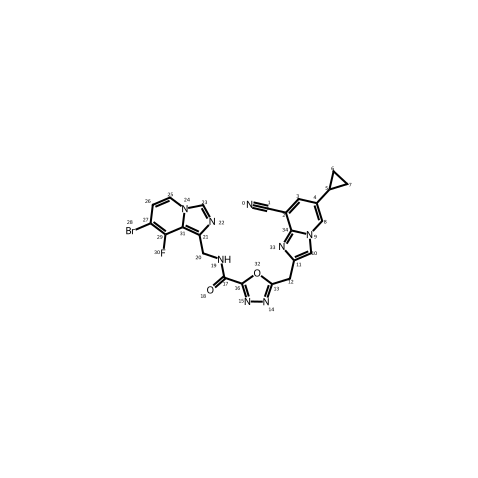 N#Cc1cc(C2CC2)cn2cc(Cc3nnc(C(=O)NCc4ncn5ccc(Br)c(F)c45)o3)nc12